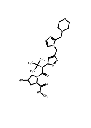 CNC(=O)C1CC(O)CN1C(=O)[C@@H](n1cc(Cn2ccnc2CN2CCOCC2)nn1)C(C)(C)C